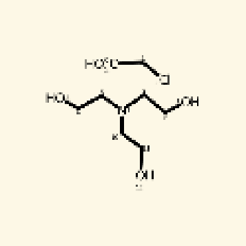 O=C(O)CCl.OCCN(CCO)CCO